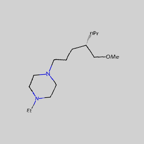 CCC[C@@H](CCCN1CCN(CC)CC1)COC